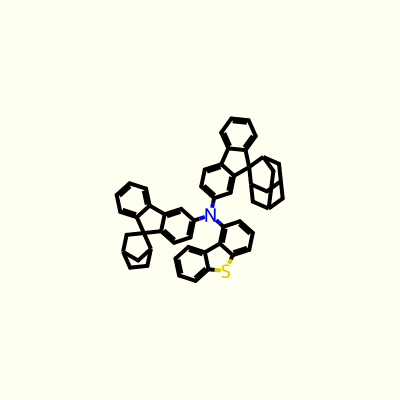 c1ccc2c(c1)-c1cc(N(c3ccc4c(c3)C3(c5ccccc5-4)C4CC5CC(C4)CC3C5)c3cccc4sc5ccccc5c34)ccc1C21CC2CCC1C2